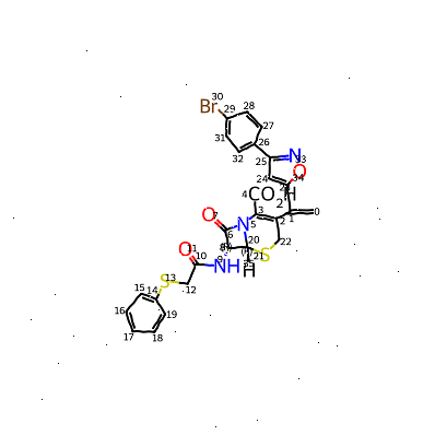 C=C(C1=C(C(=O)O)N2C(=O)[C@@H](NC(=O)CSc3ccccc3)[C@H]2SC1)c1cc(-c2ccc(Br)cc2)no1